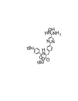 CC(C)(C)OC(=O)[C@H](Cc1ccc(-c2ncc(C(N)NO)cn2)cc1)NC(=O)c1ccc(C(C)(C)C)cc1